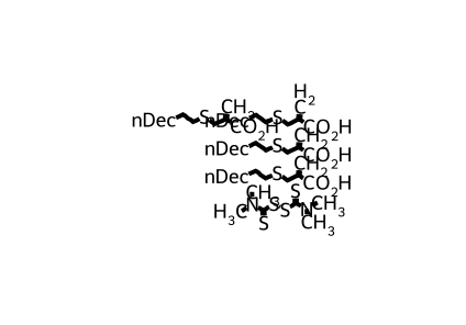 C=C(CSCCCCCCCCCCCC)C(=O)O.C=C(CSCCCCCCCCCCCC)C(=O)O.C=C(CSCCCCCCCCCCCC)C(=O)O.C=C(CSCCCCCCCCCCCC)C(=O)O.CN(C)C(=S)SSC(=S)N(C)C